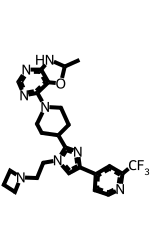 CC1Nc2ncnc(N3CCC(c4nc(-c5ccnc(C(F)(F)F)c5)cn4CCN4CCC4)CC3)c2O1